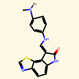 CC(=O)N(C)c1ccc(N/C=C2\C(=O)Nc3ccc4ncsc4c32)cc1